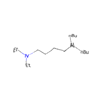 CCC[CH2][Al]([CH2]CCC)[CH2]CCCN(CC)CC